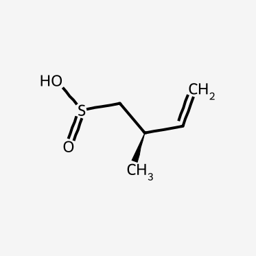 C=C[C@@H](C)CS(=O)O